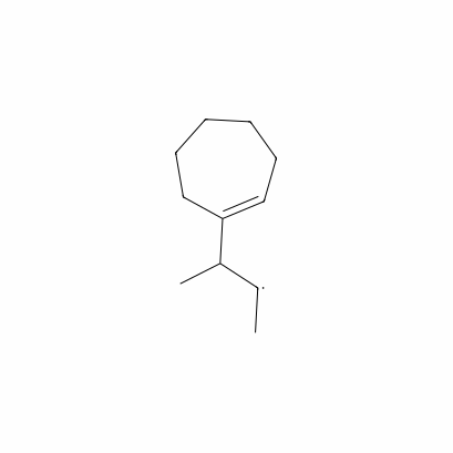 C[CH]C(C)C1=CCCCCC1